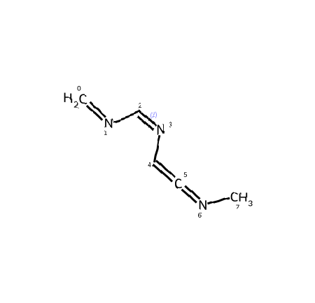 C=N/C=N\C=C=NC